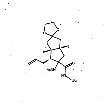 C=CC[C@H]1[C@@H]2CC3(C[C@@H]2CC1(NC(C)=O)C(=O)NC(C)(C)C)OCCO3